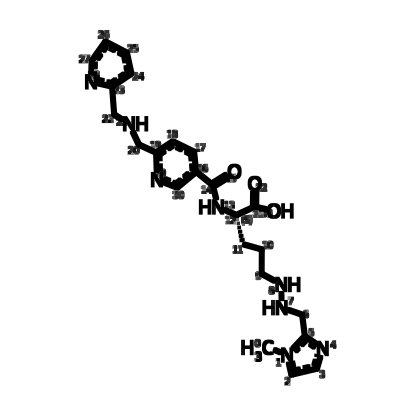 Cn1ccnc1CNNCCC[C@H](NC(=O)c1ccc(CNCc2ccccn2)nc1)C(=O)O